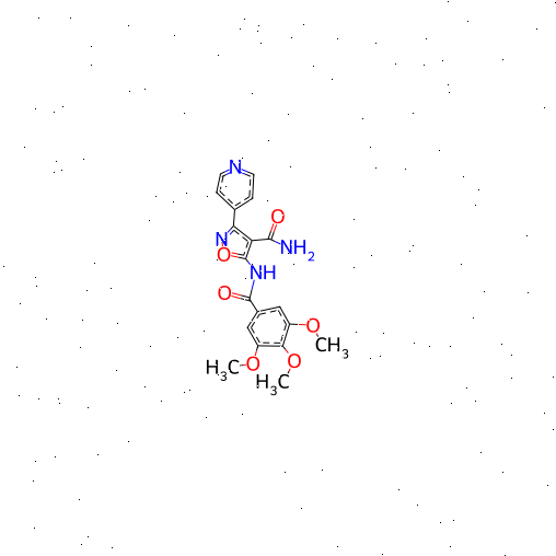 COc1cc(C(=O)Nc2onc(-c3ccncc3)c2C(N)=O)cc(OC)c1OC